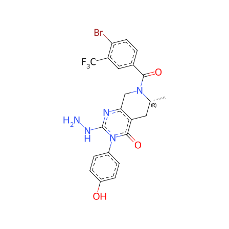 C[C@@H]1Cc2c(nc(NN)n(-c3ccc(O)cc3)c2=O)CN1C(=O)c1ccc(Br)c(C(F)(F)F)c1